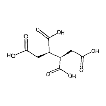 O=C(O)C[C@@H](C(=O)O)[C@@H](CC(=O)O)C(=O)O